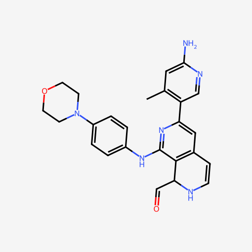 Cc1cc(N)ncc1-c1cc2c(c(Nc3ccc(N4CCOCC4)cc3)n1)C(C=O)NC=C2